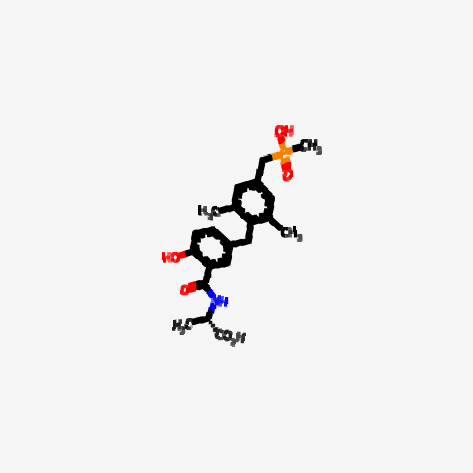 Cc1cc(CP(C)(=O)O)cc(C)c1Cc1ccc(O)c(C(=O)N[C@@H](C)C(=O)O)c1